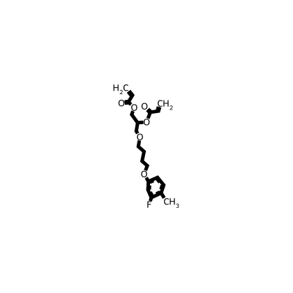 C=CC(=O)OCC(COCCCCOc1ccc(C)c(F)c1)OC(=O)C=C